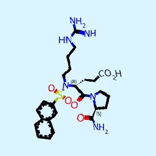 N=C(N)NCCCCN([C@H](CCC(=O)O)C(=O)N1CCC[C@H]1C(N)=O)S(=O)(=O)c1ccc2ccccc2c1